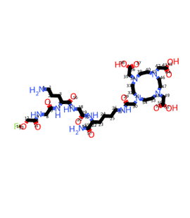 NCCCC(NC(=O)CNC(=O)COF)C(=O)NCC(=O)NC(CCCCNC(=O)CN1CCN(CC(=O)O)CCN(CC(=O)O)CCN(CC(=O)O)CC1)C(N)=O